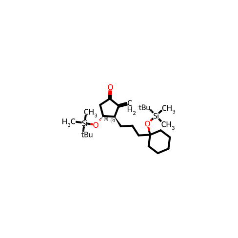 C=C1C(=O)C[C@@H](O[Si](C)(C)C(C)(C)C)[C@@H]1CCCC1(O[Si](C)(C)C(C)(C)C)CCCCC1